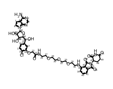 Nc1ncnc2c1ccn2[C@@H]1O[C@H]([C@H](O)c2ccc(Cl)c(OCC(=O)NCCOCCOCCOCCNc3cccc4c3C(=O)N(C3CCC(=O)NC3=O)C4=O)c2)[C@@H](O)[C@H]1O